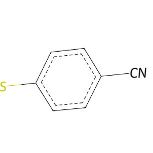 N#Cc1ccc([S])cc1